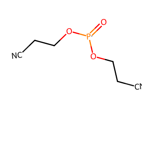 N#CCCO[P](=O)OCCC#N